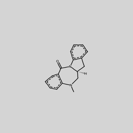 CN1C[C@@H]2Cc3ccccc3N2C(=O)c2ccccc21